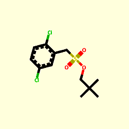 CC(C)(C)COS(=O)(=O)Cc1cc(Cl)ccc1Cl